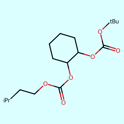 CC(C)CCOC(=O)OC1CCCCC1OC(=O)OC(C)(C)C